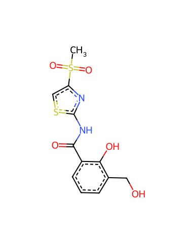 CS(=O)(=O)c1csc(NC(=O)c2cccc(CO)c2O)n1